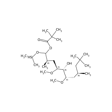 CO[C@@H](C[C@H](C)CC(C)(C)C)[C@@H](O)[C@H](C[C@@H](C)C(OC(=O)C(C)(C)C)O[SiH](C)C)OC